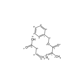 C=C(C)C(=O)OCc1ccccc1.C=CCC(=O)O